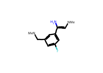 CN/C=C(\N)c1cc(F)cc(CNC)c1